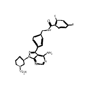 Nc1ncnc2c1c(-c1ccc(CNC(=O)c3ccc(F)cc3F)cc1)nn2[C@@H]1CCCN(C(=O)O)C1